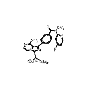 CCCC[C@H](NC)c1nc(-c2ccc(C(=O)N(C)c3cc(F)ccn3)cc2)c2c(N)nccn12